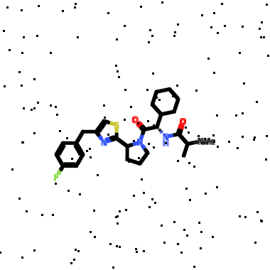 CNC(C)C(=O)N[C@H](C(=O)N1CCCC1c1nc(Cc2ccc(F)cc2)cs1)C1CCCCC1